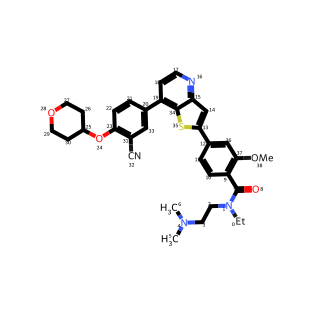 CCN(CCN(C)C)C(=O)c1ccc(-c2cc3nccc(-c4ccc(OC5CCOCC5)c(C#N)c4)c3s2)cc1OC